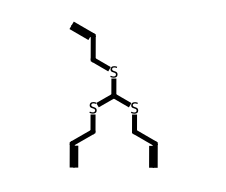 C=CCSC(SCC=C)SCC=C